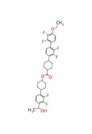 CCOc1ccc(-c2ccc(C3CCC(C(=O)OC4CCC(c5ccc(C(C)O)c(F)c5F)CC4)CC3)c(F)c2F)c(F)c1F